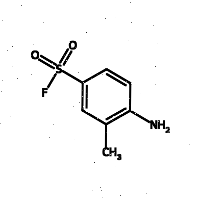 Cc1cc(S(=O)(=O)F)ccc1N